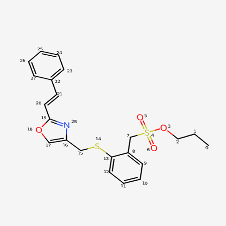 CCCOS(=O)(=O)Cc1ccccc1SCc1coc(C=Cc2ccccc2)n1